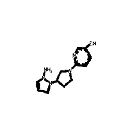 N#Cc1ccc(N2CCC(N3CC=CN3N)C2)nc1